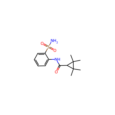 CC1(C)C(C(=O)Nc2ccccc2S(N)(=O)=O)C1(C)C